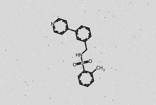 Cc1ccccc1S(=O)(=O)NCc1cccc(-c2ccncc2)c1